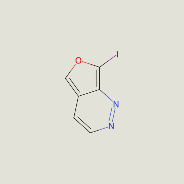 Ic1occ2ccnnc12